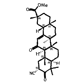 COC(=O)[C@]1(C)CC[C@]2(C)CC[C@]3(C)C(=CC(=O)[C@@H]4[C@@]5(C)C[C@@H](C#N)C(=O)C(C)(C)[C@@H]5CC[C@]43C)[C@@H]2C1